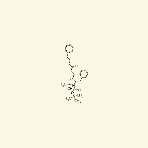 CC(C)(C)OC(=O)N1[C@@H](Cc2ccccc2)[C@H](CCC(=O)CCCc2ccccc2)OC1(C)C